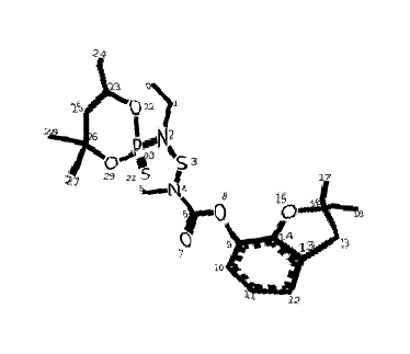 CCN(SN(C)C(=O)Oc1cccc2c1OC(C)(C)C2)P1(=S)OC(C)CC(C)(C)O1